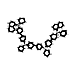 C1CCC(N(C2CCC(C3CCC(N(C4CCCCC4)C4CCC(C5CCC(N(C6CCCCC6)C6CCCC7CCCCC76)CC5)CC4)CC3)CC2)C2CCC(C3CCC(N(C4CCCCC4)C4CCCC5CCCCC54)CC3)CC2)CC1